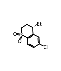 CC[C@H]1CCS(=O)(=O)c2ccc(Cl)cc21